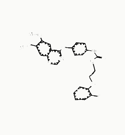 COc1cc2ncnc(Oc3ccc(NC(=O)OCCOc4ccccc4F)cc3)c2cc1OC